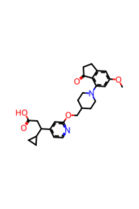 COc1cc2c(c(N3CCC(COc4cc(C(CC(=O)O)C5CC5)ccn4)CC3)c1)C(=O)CC2